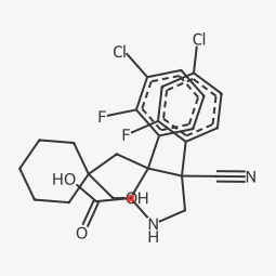 N#CC1(c2ccc(Cl)cc2F)CNC(C(=O)O)C1(CC1(CO)CCCCC1)c1cccc(Cl)c1F